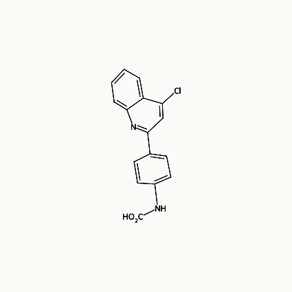 O=C(O)Nc1ccc(-c2cc(Cl)c3ccccc3n2)cc1